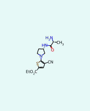 CCOC(=O)c1cc(C#N)c(N2CC[C@H](NC(=O)[C@H](C)N)C2)s1